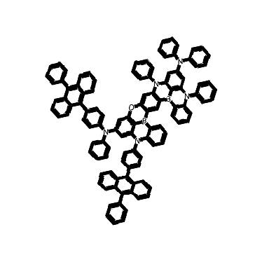 c1ccc(-c2c3ccccc3c(-c3ccc(N(c4ccccc4)c4cc5c6c(c4)N(c4ccc(-c7c8ccccc8c(-c8ccccc8)c8ccccc78)cc4)c4ccccc4B6c4cc6c(cc4O5)N(c4ccccc4)c4cc(N(c5ccccc5)c5ccccc5)cc5c4B6c4ccccc4N5c4ccccc4)cc3)c3ccccc23)cc1